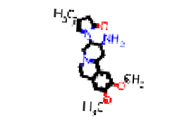 COc1cc2c(cc1OC)C1CC(N)C(N3C[C@@H](C)CC3=O)CN1CC2